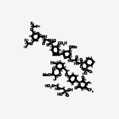 CCS(=O)(=O)c1cccnc1S(=O)(=O)NC(=O)Nc1nc(OC)cc(OC)n1.CCc1ccc(COc2ccc(-n3c(=O)cc(C(F)(F)F)n(C)c3=O)cc2)c(OC(C)C(=O)OC)c1.O=C(Nc1nc(OC(F)F)cc(OC(F)F)n1)NS(=O)(=O)c1ccccc1C(=O)O.O=C(O)CNCP(=O)(O)O